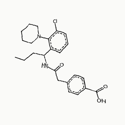 CCCC(NC(=O)Cc1ccc(C(=O)O)cc1)c1cccc(Cl)c1N1CCCCC1